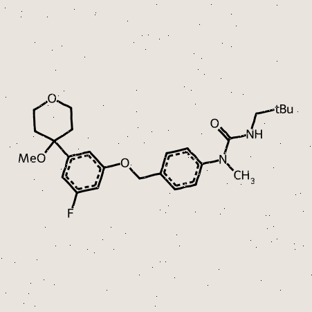 COC1(c2cc(F)cc(OCc3ccc(N(C)C(=O)NCC(C)(C)C)cc3)c2)CCOCC1